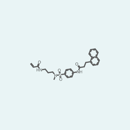 C=CC(=O)NCCCN(C)S(=O)(=O)c1ccc(NC(=O)CCc2cccc3ccccc23)cc1